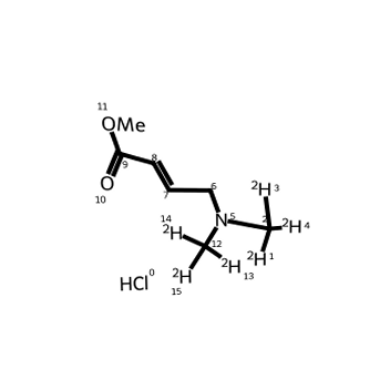 Cl.[2H]C([2H])([2H])N(C/C=C/C(=O)OC)C([2H])([2H])[2H]